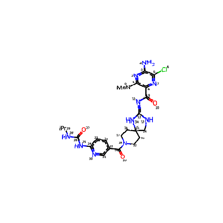 CNc1nc(N)c(Cl)nc1C(=O)/N=C1\NCC2(CCN(C(=O)c3ccc(NC(=O)NC(C)C)nc3)CC2)N1